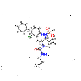 CS(=O)(=O)N[C@@H]1[C@H](Cc2cccc(-c3ccccc3)c2F)N(C(=O)NCCC#N)CC12CC2